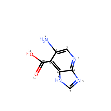 Nc1cnc2nc[nH]c2c1C(=O)O